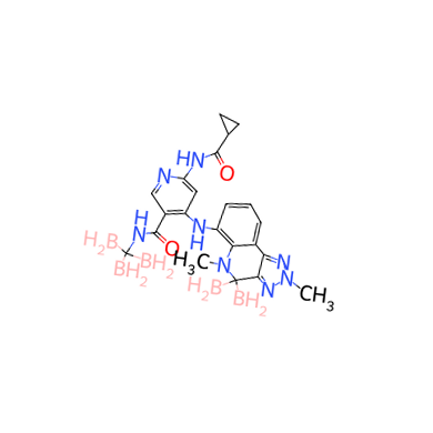 BC(B)(B)NC(=O)c1cnc(NC(=O)C2CC2)cc1Nc1cccc2c1N(C)C(B)(B)c1nn(C)nc1-2